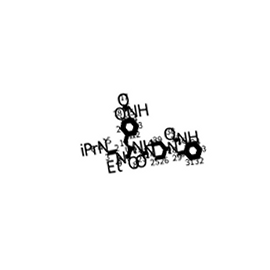 CCN(CCN(C)C(C)C)C(=O)[C@@H](Cc1ccc2[nH]c(=O)oc2c1)NC(=O)N1CCC(N2Cc3ccccc3NC2=O)CC1